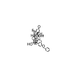 C[C@]12C=CC(=O)C=C1[C@@H](F)C[C@H]1[C@@H]3CC[C@](OC(=O)c4ccc(OCc5ccccc5)cc4)(C(=O)CO)[C@@]3(C)C[C@H](O)[C@@]12F